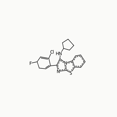 FC1C=C(Cl)C(c2nc3sc4ccccc4n3c2NC2CCCC2)=CC1